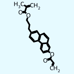 C=CC(=O)Oc1ccc2c(ccc3cc(CCCOC(=O)C(=C)C)ccc32)c1